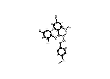 COc1ccc(COC(C)C(Oc2ccc(C)cc2Cl)c2ccc(F)cc2OC)cc1